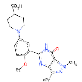 CCCc1nn(C)c2c(=O)[nH]c(-c3cc(N4CCC(C(=O)O)CC4)ccc3OCC)nc12